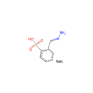 N/N=C/c1ccccc1S(=O)(=O)O.[NaH]